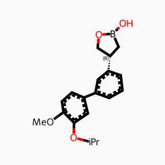 COc1ccc(-c2cccc([C@@H]3COB(O)C3)c2)cc1OC(C)C